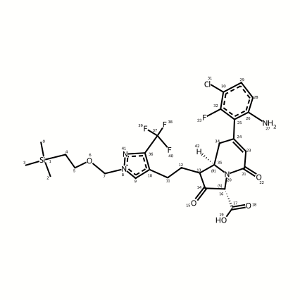 C[Si](C)(C)CCOCn1cc(CCC2C(=O)[C@@H](C(=O)O)N3C(=O)C=C(c4c(N)ccc(Cl)c4F)C[C@H]23)c(C(F)(F)F)n1